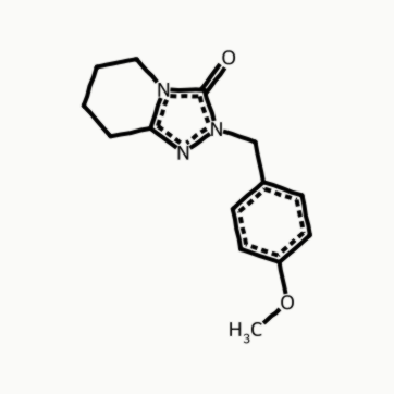 COc1ccc(Cn2nc3n(c2=O)CCCC3)cc1